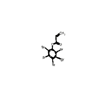 C=CC(=O)Oc1c(Br)c(Br)c(Br)c(Br)c1Br